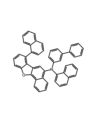 c1ccc(-c2cccc(N(c3cccc4ccccc34)c3cc4c(oc5cccc(-c6cccc7ccccc67)c54)c4ccccc34)c2)cc1